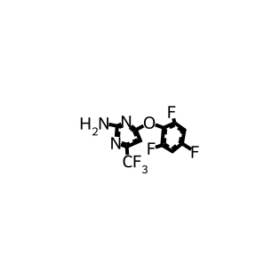 Nc1nc(Oc2c(F)cc(F)cc2F)cc(C(F)(F)F)n1